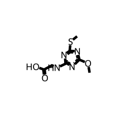 COc1nc(NCC(=O)O)nc(SC)n1